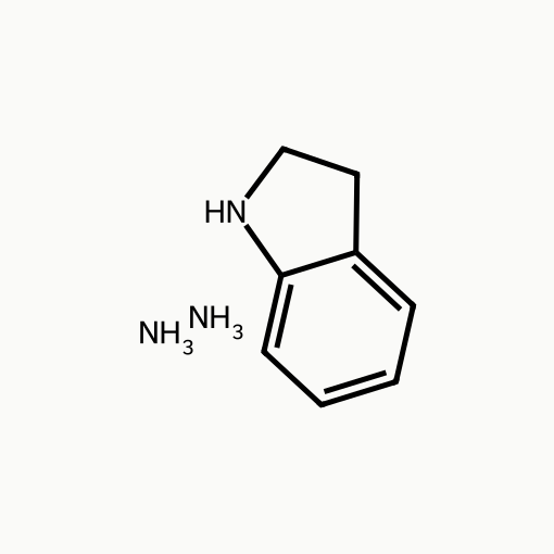 N.N.c1ccc2c(c1)CCN2